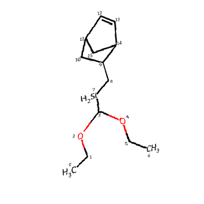 CCOC(OCC)[SiH2]CC1CC2C=CC1C2